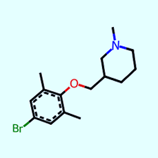 Cc1cc(Br)cc(C)c1OCC1CCCN(C)C1